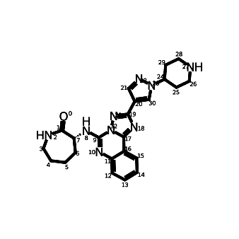 O=C1NCCCC[C@H]1Nc1nc2ccccc2c2nc(-c3cnn(C4CCNCC4)c3)nn12